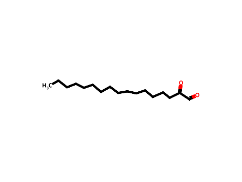 CCCCCCCCCCCCCCCC(=O)[C]=O